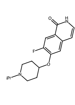 CC(C)N1CCC(Oc2cc3cc[nH]c(=O)c3cc2F)CC1